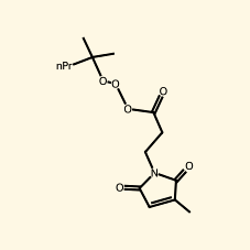 CCCC(C)(C)OOOC(=O)CCN1C(=O)C=C(C)C1=O